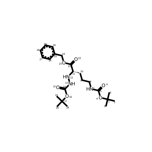 CC(C)(C)OC(=O)NCCC[C@H](NNC(=O)OC(C)(C)C)C(=O)OCc1ccccc1